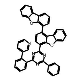 c1ccc(-c2nc(-c3ccccc3-c3cccnc3)nc(-c3ccc(-c4cccc5c4oc4ccccc45)c4c3oc3ccccc34)n2)cc1